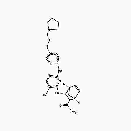 NC(=O)C1[C@@H]2C=C[C@@H](C2)[C@H]1Nc1nc(Nc2ccc(OCCN3CCCC3)cc2)ncc1Br